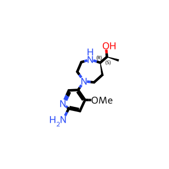 COc1cc(N)ncc1N1CCN[C@@H]([C@H](C)O)CC1